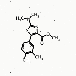 COC(=O)c1nc(N(C)C)sc1-c1ccc(C)c(C)c1